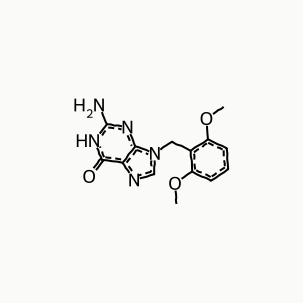 COc1cccc(OC)c1Cn1cnc2c(=O)[nH]c(N)nc21